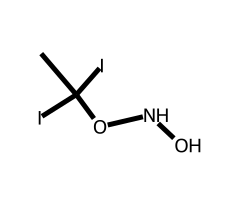 CC(I)(I)ONO